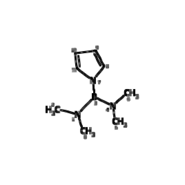 CN(C)B(N(C)C)n1cccc1